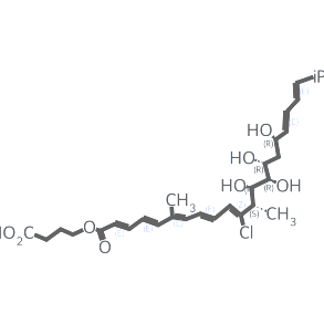 CC(/C=C/C=C/C(=O)OCCCC(=O)O)=C\C=C\C=C(/Cl)[C@@H](C)[C@@H](O)[C@H](O)[C@H](O)C[C@@H](O)/C=C/C=C/C(C)C